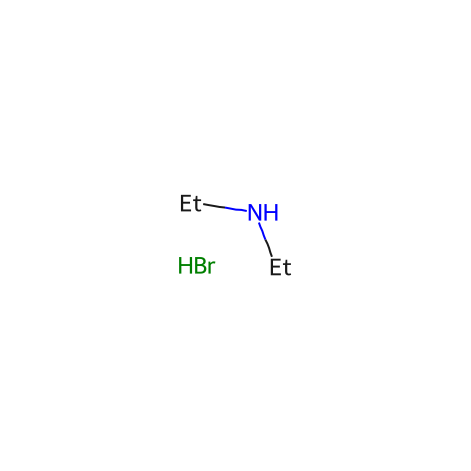 Br.CCNCC